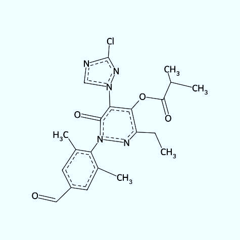 CCc1nn(-c2c(C)cc(C=O)cc2C)c(=O)c(-n2cnc(Cl)n2)c1OC(=O)C(C)C